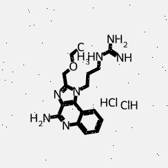 CCOCc1nc2c(N)nc3ccccc3c2n1CCCNC(=N)N.Cl.Cl